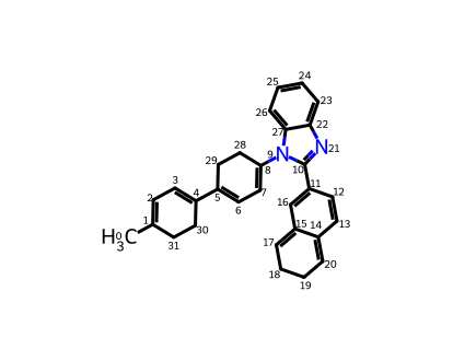 CC1=CC=C(C2=CC=C(n3c(-c4ccc5c(c4)=CCCC=5)nc4ccccc43)CC2)CC1